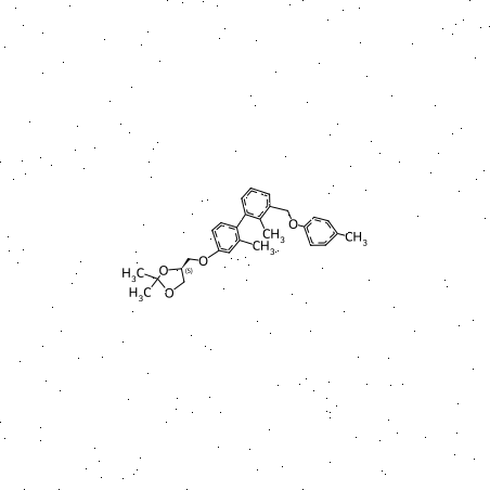 Cc1ccc(OCc2cccc(-c3ccc(OC[C@H]4COC(C)(C)O4)cc3C)c2C)cc1